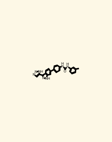 Cc1cccc(NC(=O)Nc2ccc(-c3ccc4c(-c5cnn[nH]5)n[nH]c4c3)cc2)c1